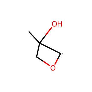 CC1(O)[CH]OC1